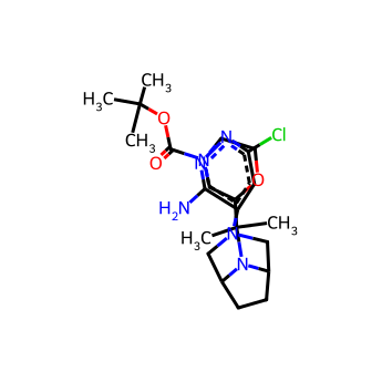 CC(C)(C)OC(=O)N1CCOC(C(C)(C)N2C3CCC2CN(c2cc(Cl)nnc2N)C3)C1